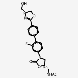 CC(=O)NC[C@H]1CN(c2ccc(-c3ccc(C4=N[C@@H](CO)CO4)cc3)c(F)c2)C(=O)O1